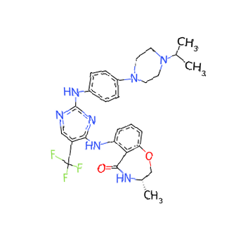 CC(C)N1CCN(c2ccc(Nc3ncc(C(F)(F)F)c(Nc4cccc5c4C(=O)N[C@@H](C)CO5)n3)cc2)CC1